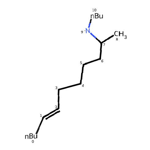 CCCC/C=C/CCCCC(C)[N]CCCC